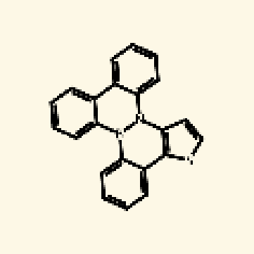 c1ccc2c(c1)B1c3ccccc3-c3sccc3N1c1ccccc1-2